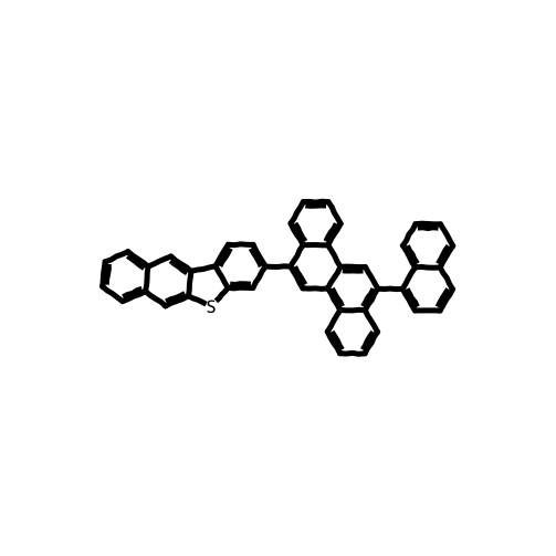 c1ccc2cc3c(cc2c1)sc1cc(-c2cc4c5ccccc5c(-c5cccc6ccccc56)cc4c4ccccc24)ccc13